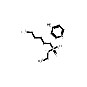 CCCCCCP(=O)(O)OCC.F.c1ccncc1